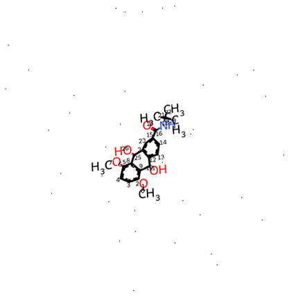 COc1ccc(OC)c2c1C(O)c1ccc(C(=O)NC(C)(C)C)cc1C2O